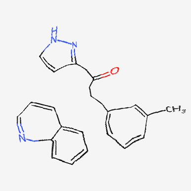 Cc1cccc(CC(=O)c2cc[nH]n2)c1.c1ccc2ncccc2c1